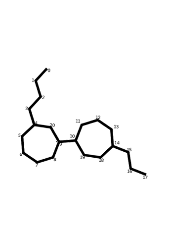 CCCCC1CCCC[C](C2CCCC(CCC)CC2)C1